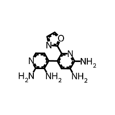 Nc1cc(-c2ccnc(N)c2N)c(-c2ncco2)nc1N